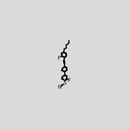 CCCCCc1ccc(C#Cc2ccc(-c3ccc(SC#N)c(F)c3)cc2)c(F)c1